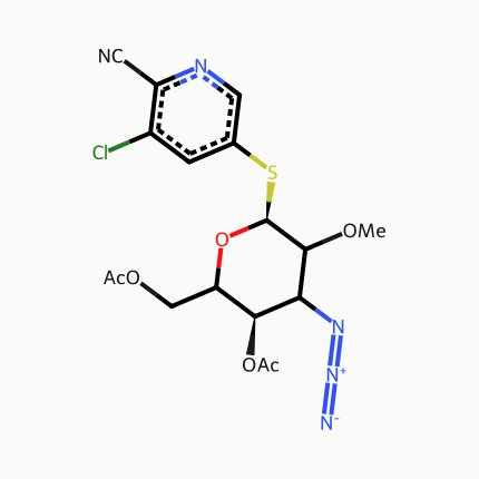 COC1C(N=[N+]=[N-])[C@@H](OC(C)=O)C(COC(C)=O)O[C@H]1Sc1cnc(C#N)c(Cl)c1